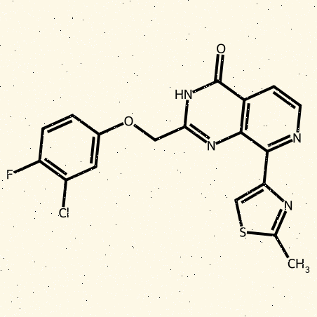 Cc1nc(-c2nccc3c(=O)[nH]c(COc4ccc(F)c(Cl)c4)nc23)cs1